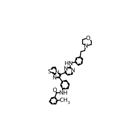 Cc1ccccc1C(=O)Nc1cccc(-c2nc3sccn3c2-c2ccnc(Nc3cccc(CCN4CCOCC4)c3)n2)c1